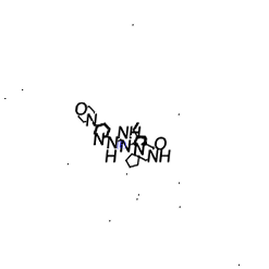 C=Cc1cc2n(c1/N=C(\N)Nc1ccc(N3CCOCC3)cn1)C1(CCCC1)CNC2=O